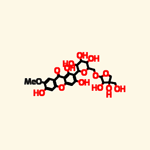 COc1cc2c(=O)c3c(O)c(C4OC(COC5OCC(O)(CO)C5O)C(O)C(O)C4O)c(O)cc3oc2cc1O